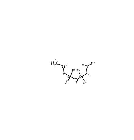 COCC(F)(F)OC(F)(F)COI